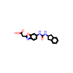 O=C(O)Cc1nc2ccc(NC(=O)NC3Cc4ccccc4C3)cc2o1